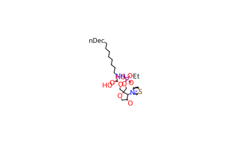 CCCCCCCCCCCCCCCCCCNC(=O)OCC1(COP(=O)(O)OCC)OCC(=O)C1[n+]1ccsc1.[OH-]